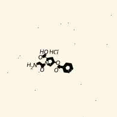 Cl.NCC(=O)N1C[C@H](OC(=O)c2ccccc2)C[C@H]1C(=O)O